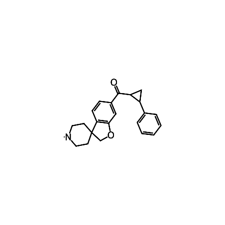 O=C(c1ccc2c(c1)OCC21CC[N]CC1)C1CC1c1ccccc1